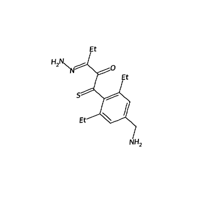 CCC(=NN)C(=O)C(=S)c1c(CC)cc(CN)cc1CC